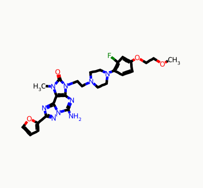 COCCOc1ccc(N2CCN(CCn3c(=O)n(C)c4c3nc(N)n3nc(-c5ccco5)nc43)CC2)c(F)c1